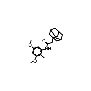 COc1cc(NC(=O)CC23CC4CC(CC(C4)C2)C3)c(C)c(OC)c1